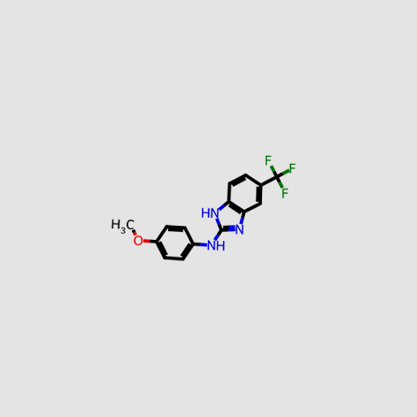 COc1ccc(Nc2nc3cc(C(F)(F)F)ccc3[nH]2)cc1